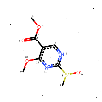 COC(=O)c1cnc([S+](C)[O-])nc1OC